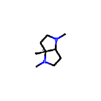 CN1CC[C@]2(C)C1CCN2C